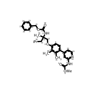 COC(=O)Nc1cc(-c2ccc(OCC(C)(CC(C)C)NC(=O)OCc3ccccc3)c(C)c2C)ccn1